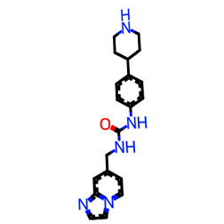 O=C(NCc1ccn2ccnc2c1)Nc1ccc(C2CCNCC2)cc1